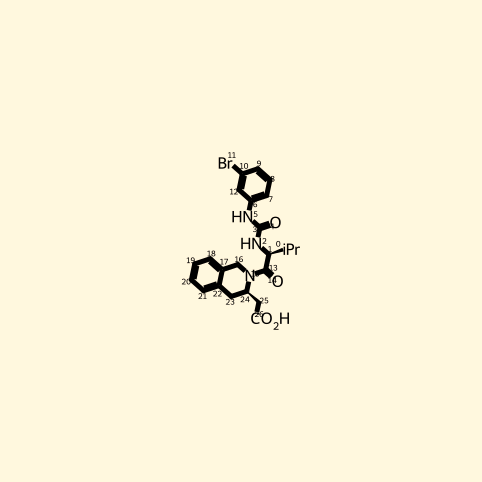 CC(C)[C@H](NC(=O)Nc1cccc(Br)c1)C(=O)N1Cc2ccccc2C[C@@H]1CC(=O)O